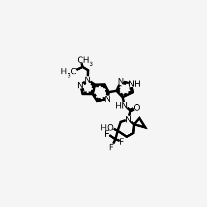 CC(C)Cn1ncc2cnc(-c3n[nH]cc3NC(=O)N3CC(O)(C(F)(F)F)CCC34CC4)cc21